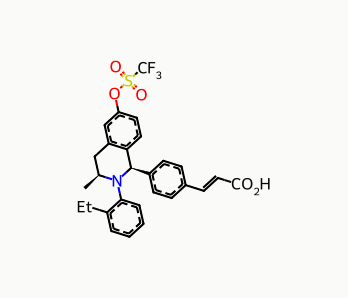 CCc1ccccc1N1[C@H](c2ccc(/C=C/C(=O)O)cc2)c2ccc(OS(=O)(=O)C(F)(F)F)cc2C[C@@H]1C